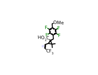 COCc1c(F)c(F)c(C[C@]2(C(=O)O)C(/C=C\C(F)(F)F)C2(C)C)c(F)c1F